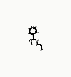 CCCSC(OC)c1ccncc1